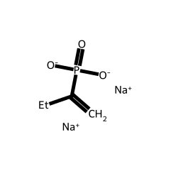 C=C(CC)P(=O)([O-])[O-].[Na+].[Na+]